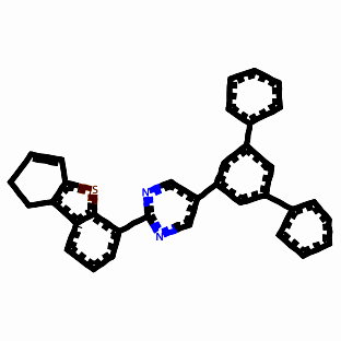 C1=Cc2sc3c(-c4ncc(-c5cc(-c6ccccc6)cc(-c6ccccc6)c5)cn4)cccc3c2CC1